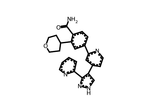 NC(=O)c1ccc(-c2cc(-c3c[nH]nc3-c3ccccn3)ccn2)cc1C1CCOCC1